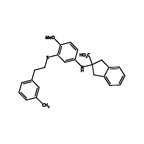 COc1ccc(NC2(C(=O)O)Cc3ccccc3C2)cc1SCCc1cccc(C)c1